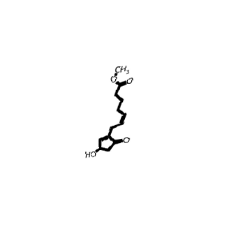 COC(=O)CCC/C=C\CC1=CC(O)CC1=O